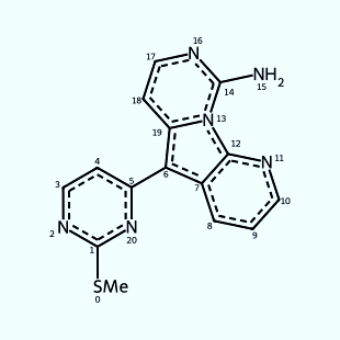 CSc1nccc(-c2c3cccnc3n3c(N)nccc23)n1